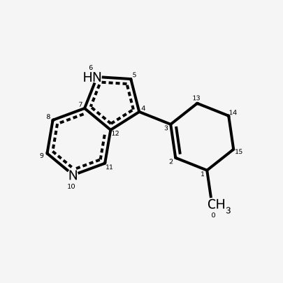 CC1C=C(c2c[nH]c3ccncc23)CCC1